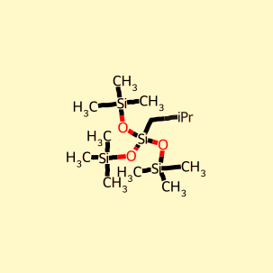 CC(C)C[Si](O[Si](C)(C)C)(O[Si](C)(C)C)O[Si](C)(C)C